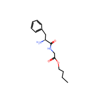 CCCCOC(=O)CNC(=O)[C@@H](N)Cc1ccccc1